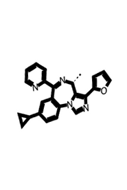 C[C@H]1N=C(c2ccccn2)c2cc(C3CC3)ccc2-n2cnc(-c3ccco3)c21